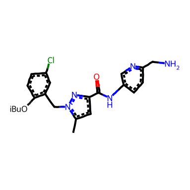 Cc1cc(C(=O)Nc2ccc(CN)nc2)nn1Cc1cc(Cl)ccc1OCC(C)C